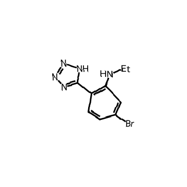 CCNc1cc(Br)ccc1-c1nnn[nH]1